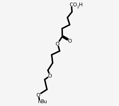 CCCCOCCOCCCCOC(=O)CCCCC(=O)O